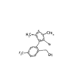 Cc1sc(C)c(-c2cc(C(F)(F)F)ccc2CO)c1Br